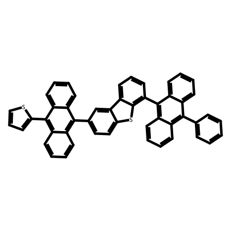 c1ccc(-c2c3ccccc3c(-c3cccc4c3sc3ccc(-c5c6ccccc6c(-c6cccs6)c6ccccc56)cc34)c3ccccc23)cc1